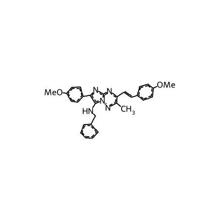 COc1ccc(/C=C/c2nc3nc(-c4ccc(OC)cc4)c(NCc4ccccc4)n3nc2C)cc1